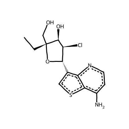 CC[C@]1(CO)O[C@@H](c2csc3c(N)ccnc23)[C@H](Cl)[C@@H]1O